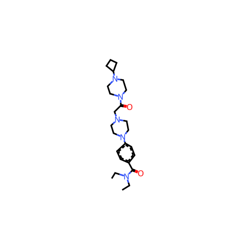 CCN(CC)C(=O)c1ccc(N2CCN(CC(=O)N3CCN(C4CCC4)CC3)CC2)cc1